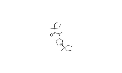 CCC(C)(CC)C(=O)N(C)C1CCN(C(C)(CC)CC)C1